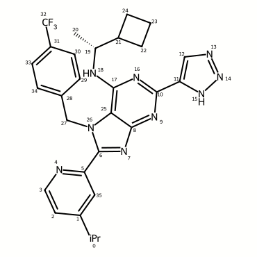 CC(C)c1ccnc(-c2nc3nc(-c4cnn[nH]4)nc(N[C@H](C)C4CCC4)c3n2Cc2ccc(C(F)(F)F)cc2)c1